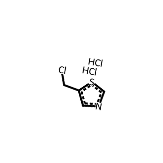 Cl.Cl.ClCc1cncs1